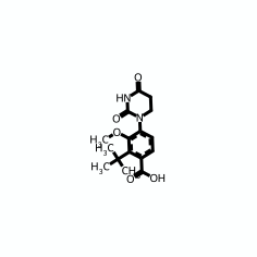 COc1c(N2CCC(=O)NC2=O)ccc(C(=O)O)c1C(C)(C)C